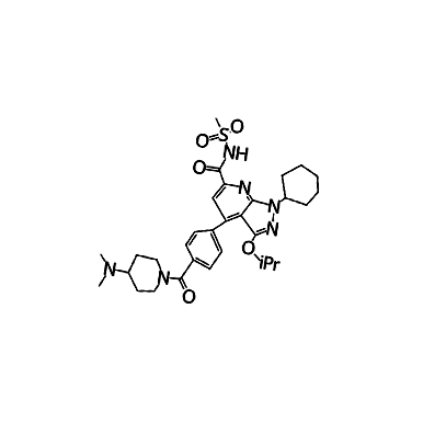 CC(C)Oc1nn(C2CCCCC2)c2nc(C(=O)NS(C)(=O)=O)cc(-c3ccc(C(=O)N4CCC(N(C)C)CC4)cc3)c12